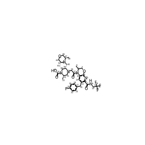 CC1COc2nc(C(=O)NCC(F)(F)F)c(Cc3ccc(F)cc3)cc2N1C(=O)CN1C[C@@H](C)N(C(=O)O)C[C@@H]1CN1[C@H](C)COC[C@H]1C